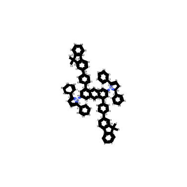 CC1(C)c2ccccc2-c2ccc(-c3ccc(-c4cc(N5C(c6ccccc6)=CCC5c5ccccc5)cc5cc6c(-c7ccc(-c8ccc9c(c8)C(C)(C)c8ccccc8-9)cc7)cc(-n7c(-c8ccccc8)ccc7C7C=CC=CC7)cc6cc45)cc3)cc21